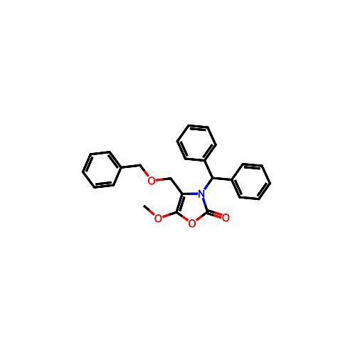 COc1oc(=O)n(C(c2ccccc2)c2ccccc2)c1COCc1ccccc1